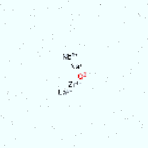 [La+3].[Na+].[Nb+5].[O-2].[Zr+4]